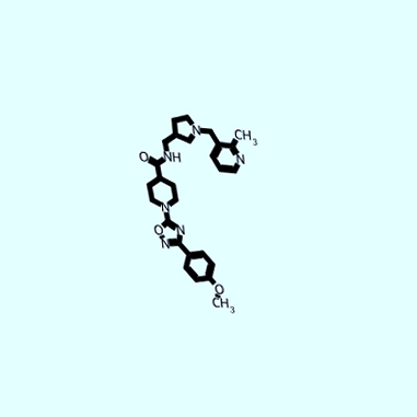 COc1ccc(-c2noc(N3CCC(C(=O)NCC4CCN(Cc5cccnc5C)C4)CC3)n2)cc1